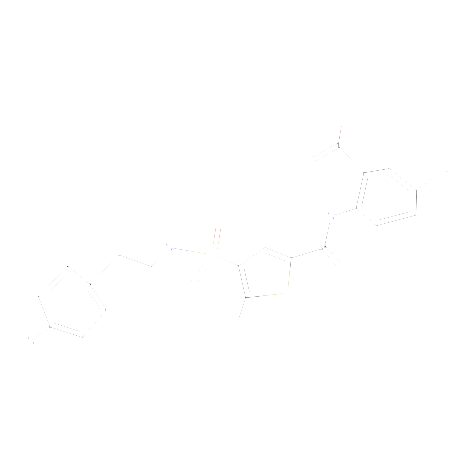 Cc1sc(C(=O)Nc2ccc(Br)cc2C(=O)O)cc1S(=O)(=O)NCCc1ccc(N)cc1